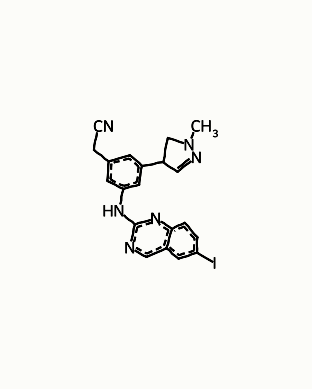 CN1CC(c2cc(CC#N)cc(Nc3ncc4cc(I)ccc4n3)c2)C=N1